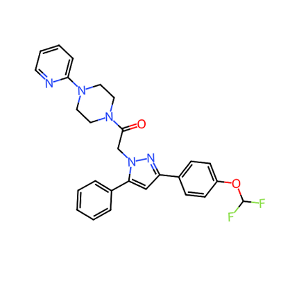 O=C(Cn1nc(-c2ccc(OC(F)F)cc2)cc1-c1ccccc1)N1CCN(c2ccccn2)CC1